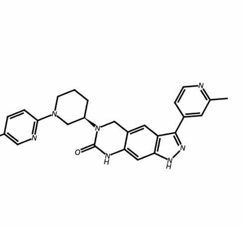 Cc1cc(-c2n[nH]c3cc4c(cc23)CN([C@@H]2CCCN(c3ccc(F)cn3)C2)C(=O)N4)ccn1